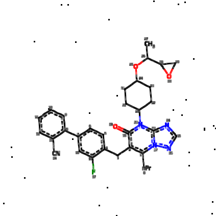 CCCc1c(Cc2ccc(-c3ccccc3C#N)cc2F)c(=O)n(C2CCC(OC(C)C3CO3)CC2)c2ncnn12